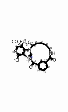 CCOC(=O)c1cnc(Cl)c2c1N1/C(=N/C(=O)c3cccc(c3)C(=O)NCCCC[C@@H]1C)N2